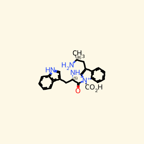 C[C@@H](N)CC1=C[N+](C(=O)O)(C(=O)[C@@H](N)Cc2c[nH]c3ccccc23)c2ccccc21